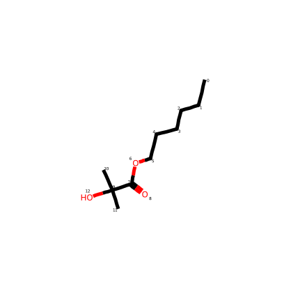 CCCCCCOC(=O)C(C)(C)O